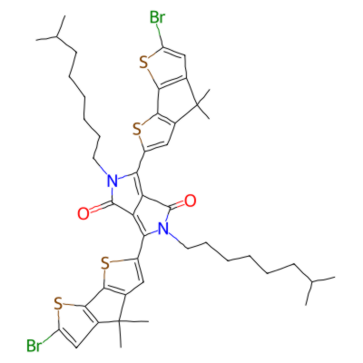 CC(C)CCCCCCN1C(=O)C2=C(c3cc4c(s3)-c3sc(Br)cc3C4(C)C)N(CCCCCCC(C)C)C(=O)C2=C1c1cc2c(s1)-c1sc(Br)cc1C2(C)C